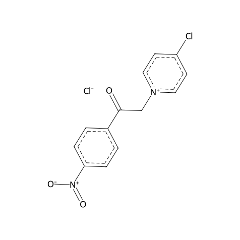 O=C(C[n+]1ccc(Cl)cc1)c1ccc([N+](=O)[O-])cc1.[Cl-]